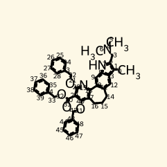 Cc1c(CN(C)C)[nH]c2cc3c(cc12)CCCc1c-3nc(OCc2ccccc2)c(C(=O)OCc2ccccc2)c1OCc1ccccc1